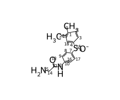 Cc1ccc([S+]([O-])c2ccc(NC(=O)CN)cc2)cc1C